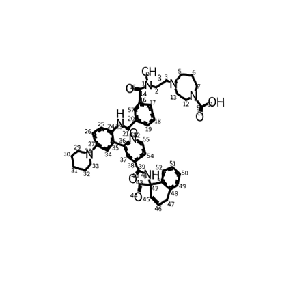 CN(CCN1CCCN(C(=O)O)CC1)C(=O)c1cccc(C(=O)Nc2ccc(N3CCCCC3)cc2-c2cc(C(=O)NC3(C=O)C=CCc4ccccc43)ccn2)c1